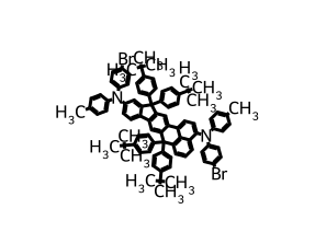 Cc1ccc(N(c2ccc(Br)cc2)c2ccc3c(c2)C(c2ccc(C(C)(C)C)cc2)(c2ccc(C(C)(C)C)cc2)c2cc4c(cc2-3)C(c2ccc(C(C)(C)C)cc2)(c2ccc(C(C)(C)C)cc2)c2cccc3c(N(c5ccc(C)cc5)c5ccc(Br)cc5)ccc-4c23)cc1